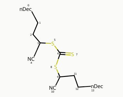 CCCCCCCCCCCCC(C#N)SC(=S)SC(C#N)CCCCCCCCCCCC